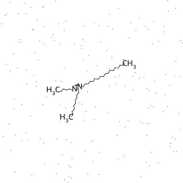 CCCCCCCCCCCCCCCCCCN1C=CN(CCCCCC)C1CCCCCCCCCC